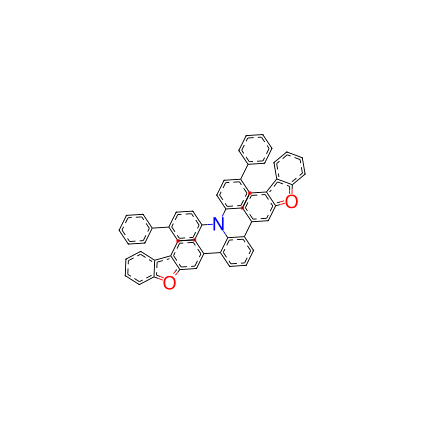 c1ccc(-c2ccc(N(c3ccc(-c4ccccc4)cc3)c3c(-c4ccc5c(c4)oc4ccccc45)cccc3-c3ccc4c(c3)oc3ccccc34)cc2)cc1